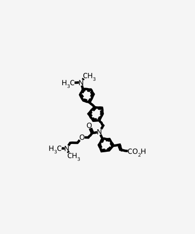 CN(C)CCOCC(=O)N(Cc1ccc(-c2ccc(N(C)C)cc2)cc1)c1cccc(/C=C/C(=O)O)c1